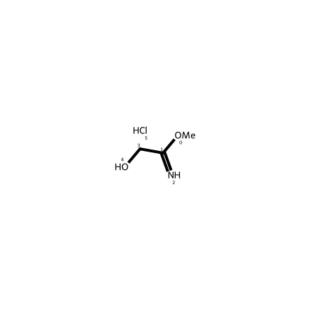 COC(=N)CO.Cl